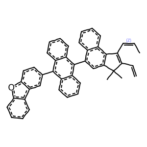 C=CC1=C(/C=C\C)c2c(cc(-c3c4ccccc4c(-c4ccc5oc6ccccc6c5c4)c4ccccc34)c3ccccc23)C1(C)C